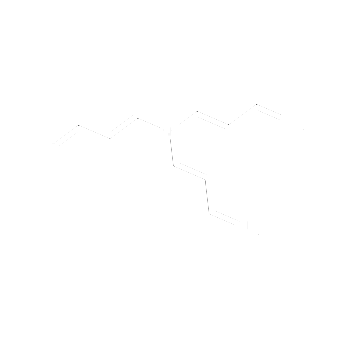 C=CC=[CH][Sb]([CH]=CC=C)[CH]=CC=C